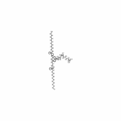 CCCCCCCCCCCCCC(=O)OCCCC(CCCOC(=O)CCCCCCCCCCCCC)OC(=O)NCCCN(C)CCCCN(C)C